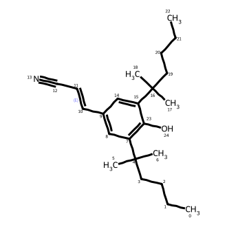 CCCCC(C)(C)c1cc(/C=C/C#N)cc(C(C)(C)CCCC)c1O